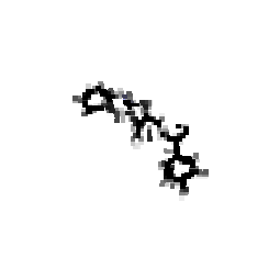 O=C(NCC1S/C(=N/c2ccccn2)NC1=O)c1ccc(F)cc1